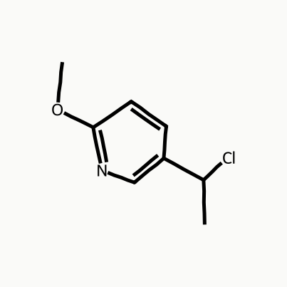 COc1ccc(C(C)Cl)cn1